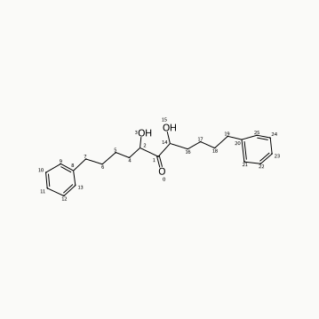 O=C(C(O)CCCCc1ccccc1)C(O)CCCCc1ccccc1